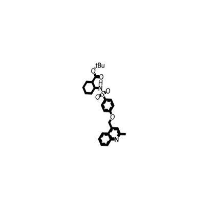 Cc1cc(COc2ccc(S(=O)(=O)NC3CCCCC3C(=O)OC(C)(C)C)cc2)c2ccccc2n1